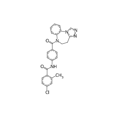 Cc1cc(Cl)ccc1C(=O)Nc1ccc(C(=O)N2CCc3nncn3-c3ccccc32)cc1